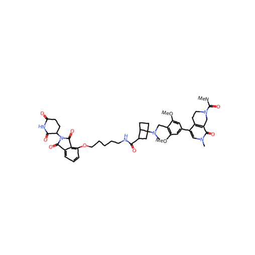 CNC(=O)N1CCc2c(-c3cc(OC)c(CN(C)C45CCC4C(C(=O)NCCCCCOc4cccc6c4C(=O)N(C4CCC(=O)NC4=O)C6=O)C5)c(OC)c3)cn(C)c(=O)c2C1